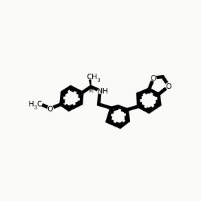 COc1ccc([C@@H](C)NCc2cccc(-c3ccc4c(c3)OCO4)c2)cc1